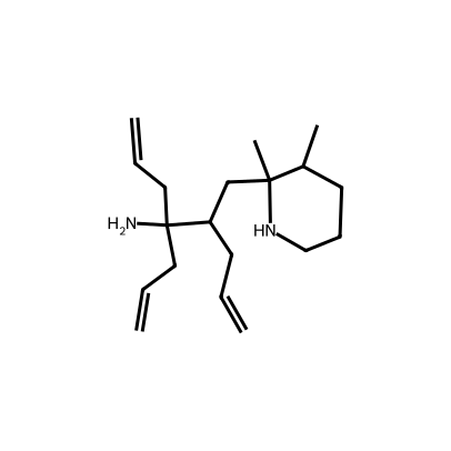 C=CCC(CC1(C)NCCCC1C)C(N)(CC=C)CC=C